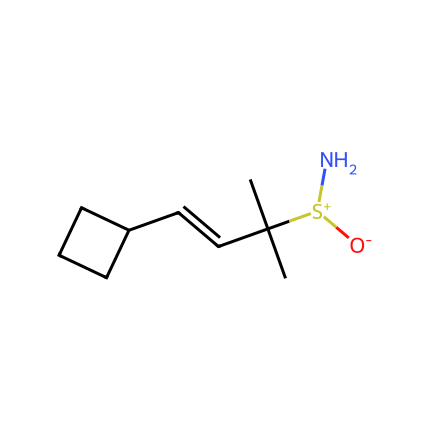 CC(C)(C=CC1CCC1)[S+](N)[O-]